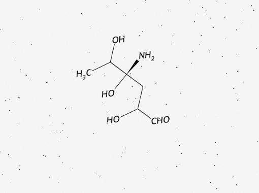 CC(O)[C@@](N)(O)CC(O)C=O